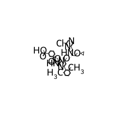 Cc1cccc(C)c1-c1cc(OC[C@@H](COC2CC2)NCc2cncc(Cl)n2)nc(NS(=O)(=O)c2cccc(C(=O)O)c2)n1